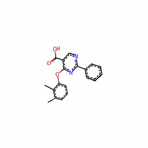 Cc1cccc(Oc2nc(-c3ccccc3)ncc2C(=O)O)c1C